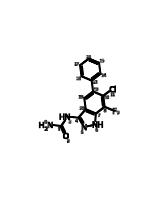 NC(=O)Nc1n[nH]c2c(F)c(Cl)c(-c3ccccc3)cc12